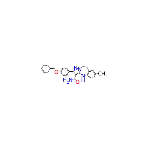 Cc1ccc2c(c1)CCn1nc(-c3ccc(OCC4C=CC=CC4)cc3)c(C(N)=O)c1N2